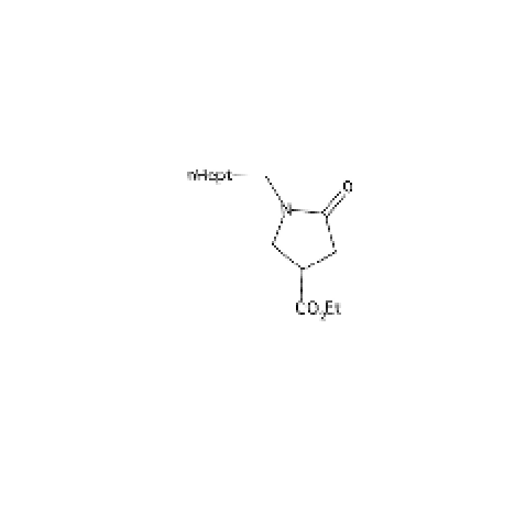 CCCCCCCCN1CC(C(=O)OCC)CC1=O